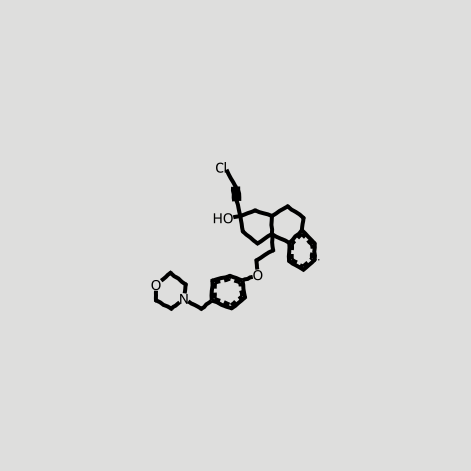 OC1(C#CCl)CCC2(CCOc3ccc(CN4CCOCC4)cc3)c3cc[c]cc3CCC2C1